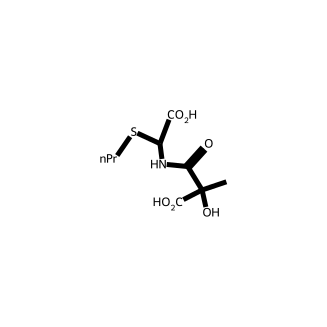 CCCSC(NC(=O)C(C)(O)C(=O)O)C(=O)O